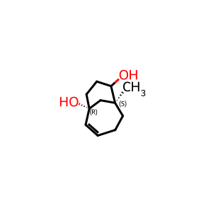 C[C@@]12CCC=C[C@@](O)(CCC1O)C2